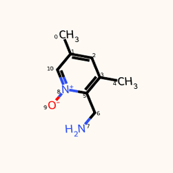 Cc1cc(C)c(CN)[n+]([O-])c1